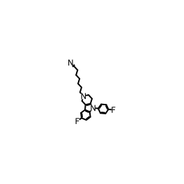 N#CCCCCCCN1CCc2c(c3cc(F)ccc3n2-c2ccc(F)cc2)C1